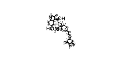 COc1ccc2ncc(C)c([C@@H](O)CCC3(CC(=O)O)CCN(CCSc4cc(F)c(F)c(F)c4)CC3)c2c1